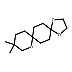 CC1(C)CCC2(CCC3(CC2)OCCO3)OC1